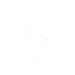 CC(C)(C)[Si](C)(C)Oc1ccc(Nc2cc(F)cc(F)c2)cc1